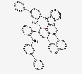 Cc1ccc(-c2cccc3cccc(-c4ccc5c(c4)c4ccccc4n5-c4ccc(-c5ccccc5)cc4)c23)cc1-c1ccccc1Nc1cccc(-c2ccccc2)c1